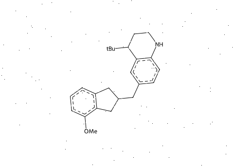 COc1cccc2c1CC(Cc1ccc3c(c1)C(C(C)(C)C)CCN3)C2